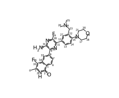 Cc1[nH]c(=O)c2ccc(-c3nc(-c4ccc(N5CCOCC5)c(CN(C)C)c4)c(F)nc3N)cc2c1F